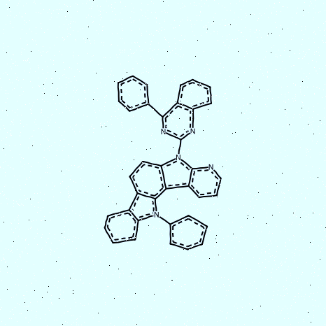 c1ccc(-c2nc(-n3c4ccc5c6ccccc6n(-c6ccccc6)c5c4c4cccnc43)nc3ccccc23)cc1